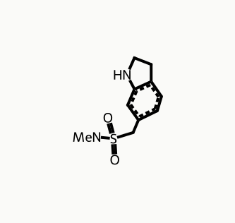 CNS(=O)(=O)Cc1ccc2c(c1)NCC2